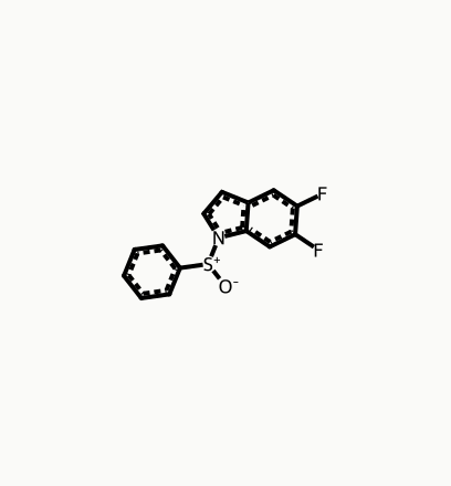 [O-][S+](c1ccccc1)n1ccc2cc(F)c(F)cc21